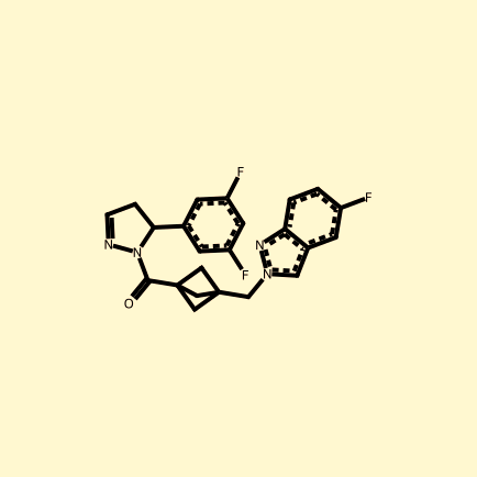 O=C(N1N=CCC1c1cc(F)cc(F)c1)C12CC(Cn3cc4cc(F)ccc4n3)(C1)C2